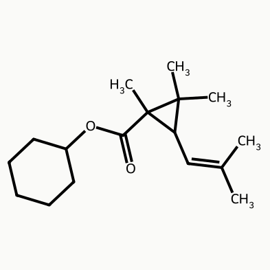 CC(C)=CC1C(C)(C)C1(C)C(=O)OC1CCCCC1